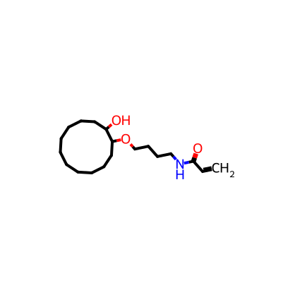 C=CC(=O)NCCCCOC1CCCCCCCCCCC1O